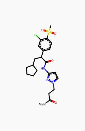 CNC(=O)CCn1ccc(NC(=O)C(CC2CCCC2)c2ccc(S(C)(=O)=O)c(Cl)c2)n1